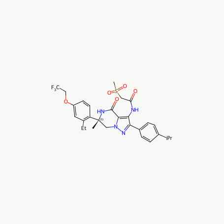 CCc1cc(OCC(F)(F)F)ccc1[C@@]1(C)Cn2nc(-c3ccc(C(C)C)cc3)c(NC(=O)CS(C)(=O)=O)c2C(=O)N1